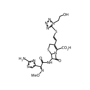 CON=C(C(=O)NC1C(=O)N2C(C(=O)O)=C(C=CSc3nnnn3CCO)CSC12)c1csc(N)n1